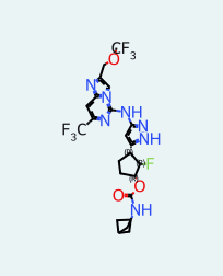 O=C(NC12CC(C1)C2)O[C@@H]1CC[C@H](c2cc(Nc3nc(C(F)(F)F)cc4nc(COC(F)(F)F)cn34)n[nH]2)[C@H]1F